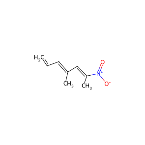 C=C/C=C(C)/C=C(\C)[N+](=O)[O-]